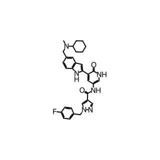 CN(Cc1ccc2[nH]c(-c3cc(NC(=O)c4cnn(Cc5ccc(F)cc5)c4)c[nH]c3=O)cc2c1)C1CCCCC1